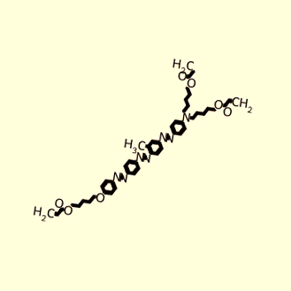 C=CC(=O)OCCCCCOc1ccc(N=Nc2ccc(N=Nc3ccc(N=Nc4ccc(N(CCCCCOC(=O)C=C)CCCCCOC(=O)C=C)cc4)cc3C)cc2)cc1